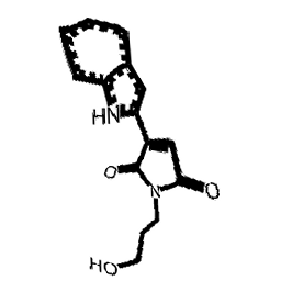 O=C1C=C(c2cc3ccccc3[nH]2)C(=O)N1CCCO